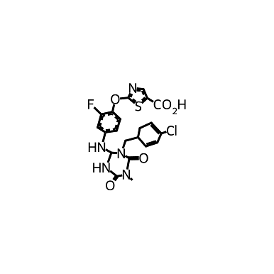 CN1C(=O)NC(Nc2ccc(Oc3ncc(C(=O)O)s3)c(F)c2)N(CC2C=CC(Cl)=CC2)C1=O